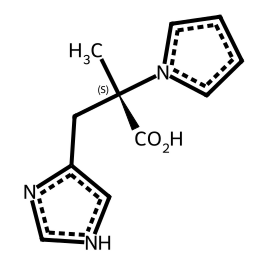 C[C@](Cc1c[nH]cn1)(C(=O)O)n1cccc1